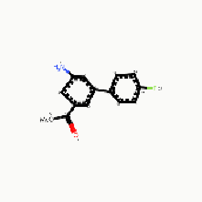 COC(=O)c1cc(N)cc(-c2ccc(F)cc2)c1